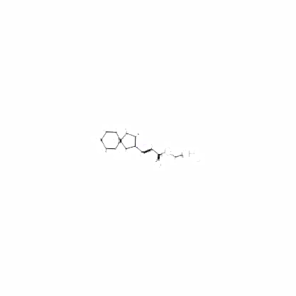 CCOC(=O)/C=C/C1CCC2(CCCCC2)C1